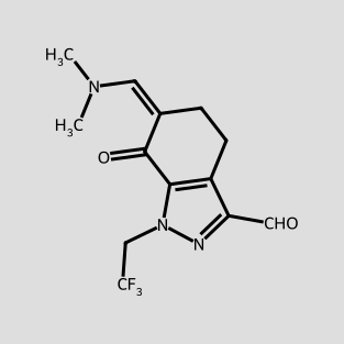 CN(C)/C=C1/CCc2c(C=O)nn(CC(F)(F)F)c2C1=O